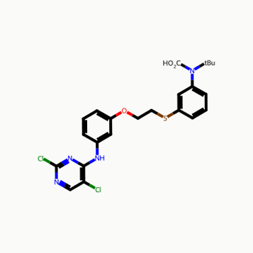 CC(C)(C)N(C(=O)O)c1cccc(SCCOc2cccc(Nc3nc(Cl)ncc3Cl)c2)c1